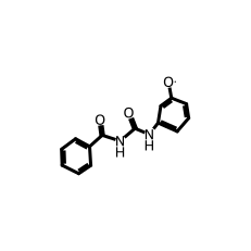 [O]c1cccc(NC(=O)NC(=O)c2ccccc2)c1